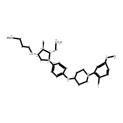 CCOc1ccc(F)c(N2CCC(Oc3ccc(N4C[C@H](OCCCOC)[C@@H](C)[C@@H]4CC(=O)O)cc3)CC2)c1